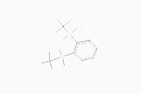 CC(C)(C)[Si](C)(C)c1[c]cccc1[Si](C)(C)C(C)(C)C